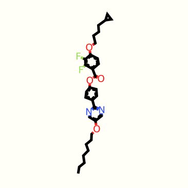 CCCCCCCCOc1cnc(-c2ccc(OC(=O)c3ccc(OCCCCC4CC4)c(F)c3F)cc2)nc1